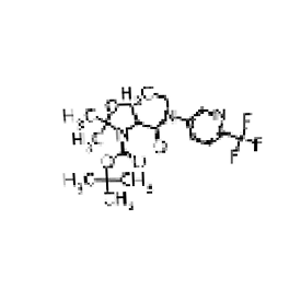 CCN(C(=O)C1COC(C)(C)N1C(=O)OC(C)(C)C)c1ccc(C(F)(F)F)nc1